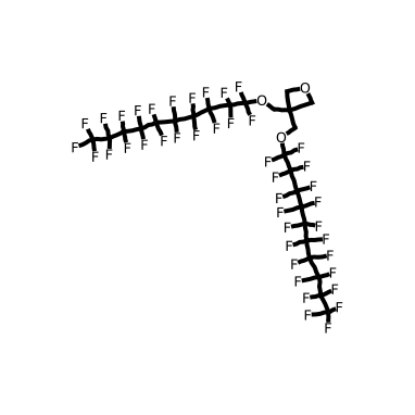 FC(F)(F)C(F)(F)C(F)(F)C(F)(F)C(F)(F)C(F)(F)C(F)(F)C(F)(F)C(F)(F)C(F)(F)OCC1(COC(F)(F)C(F)(F)C(F)(F)C(F)(F)C(F)(F)C(F)(F)C(F)(F)C(F)(F)C(F)(F)C(F)(F)F)COC1